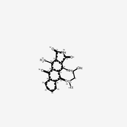 CCOCCO.Nc1c2c(=O)[nH]c(=O)c2c(N)c2c(=O)c3ccccc3c(=O)c12